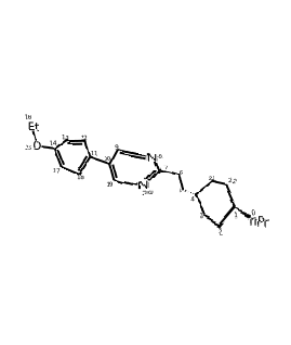 CCC[C@H]1CC[C@H](CCc2ncc(-c3ccc(OCC)cc3)cn2)CC1